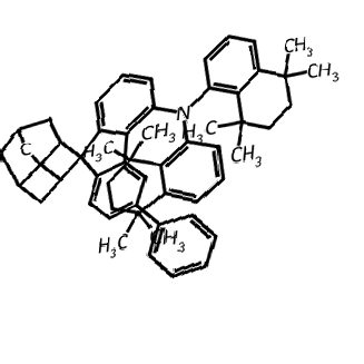 CC1(C)CCC(C)(C)c2c(N(c3cccc4c3-c3cc(-c5ccccc5)ccc3C43C4CC5CC6CC3C64C5)c3cccc4c3C(C)(C)CCC4(C)C)cccc21